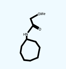 COCC(=O)NC1CCCCCCC1